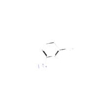 CC(C)(C)C1=CC(N)=CCC1